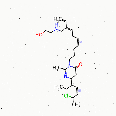 C=CC(=CC/C=C\CCCN1C(=O)CC(C(/C=C\C(C)Cl)CC)N=C1C)CNCCO